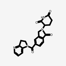 O=C1CCC(N2Cc3cc(C(=O)N4CCc5ncccc54)ccc3C2=O)C(=O)N1